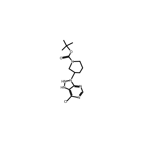 CC(C)(C)OC(=O)N1CCCC(N2NNc3c(Cl)ncnc32)C1